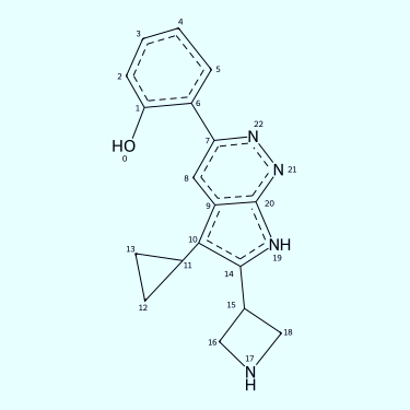 Oc1ccccc1-c1cc2c(C3CC3)c(C3CNC3)[nH]c2nn1